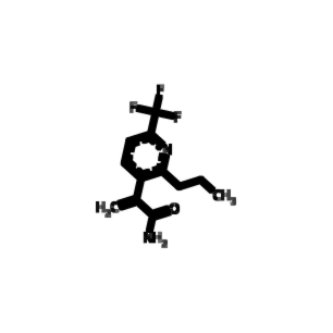 C=C(C(N)=O)c1ccc(C(F)(F)F)nc1CCC